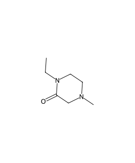 CCN1CCN(C)CC1=O